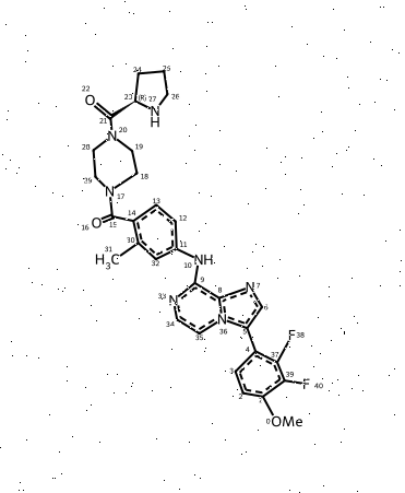 COc1ccc(-c2cnc3c(Nc4ccc(C(=O)N5CCN(C(=O)[C@H]6CCCN6)CC5)c(C)c4)nccn23)c(F)c1F